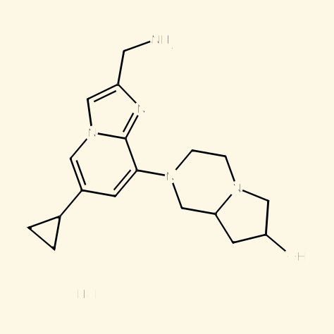 Cl.NCc1cn2cc(C3CC3)cc(N3CCN4CC(O)CC4C3)c2n1